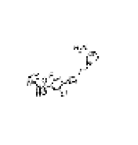 N[C@@H]1CCCN(CCCCNc2cc(F)c(S(=O)(=O)Nc3nccs3)cc2Cl)C1